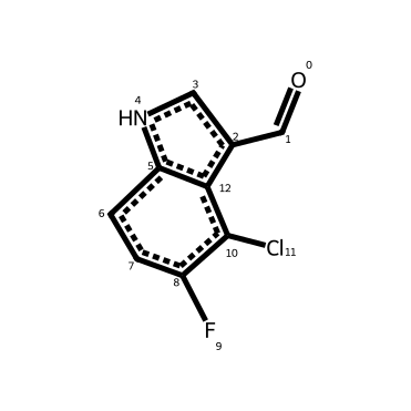 O=Cc1c[nH]c2ccc(F)c(Cl)c12